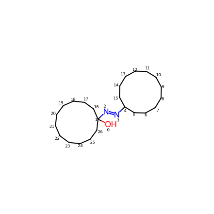 OC1(N=NC2CCCCCCCCCCC2)CCCCCCCCCCC1